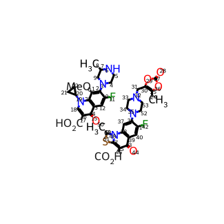 COc1c(N2CCNC(C)C2)c(F)cc2c(=O)c(C(=O)O)cn(C3CC3)c12.Cc1oc(=O)oc1CN1CCN(c2cc3c(cc2F)c(=O)c(C(=O)O)c2n3[C@@H](C)S2)CC1